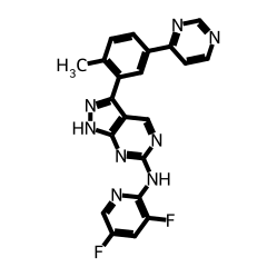 Cc1ccc(-c2ccncn2)cc1-c1n[nH]c2nc(Nc3ncc(F)cc3F)ncc12